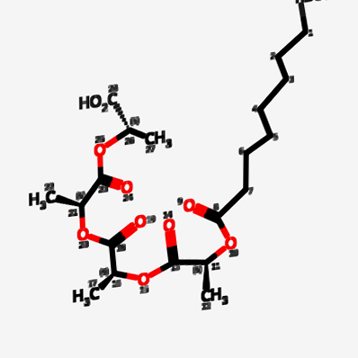 CCCCCCCCCCCCCCCCCC(=O)O[C@@H](C)C(=O)O[C@@H](C)C(=O)O[C@@H](C)C(=O)O[C@@H](C)C(=O)O